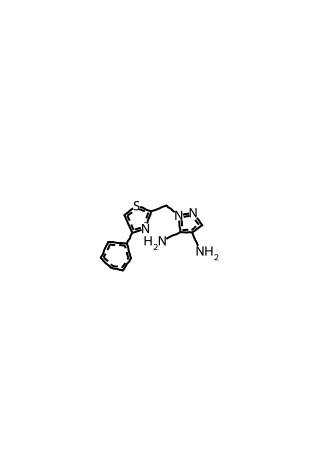 Nc1cnn(Cc2nc(-c3ccccc3)cs2)c1N